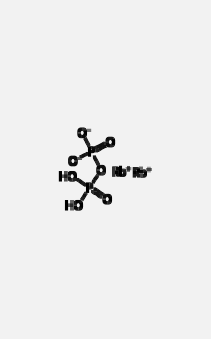 O=P([O-])([O-])OP(=O)(O)O.[Rb+].[Rb+]